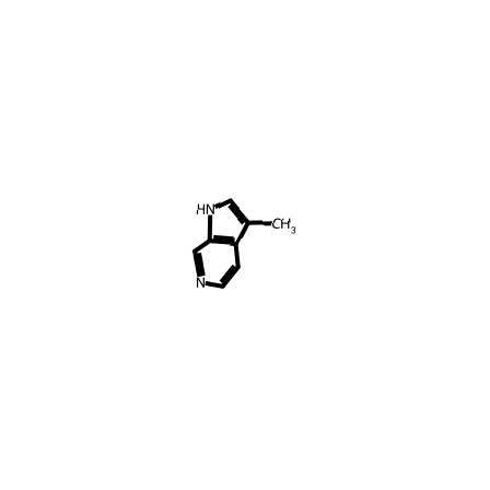 Cc1c[nH]c2cnccc12